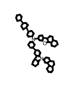 c1ccc(-c2ccc(-c3ccc(N(c4cccc(-c5ccc6c(c5)c5ccccc5n6-c5ccc6ccc7ccccc7c6c5)c4)c4ccc5c(c4)oc4c6ccccc6ccc54)cc3)cc2)cc1